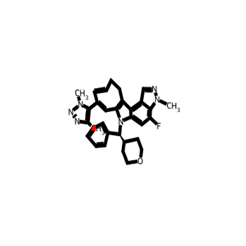 Cc1nnn(C)c1C1=C/c2c(c3c4cnn(C)c4c(F)cc3n2[C@H](c2ccccc2)C2CCOCC2)CC\C=C\1